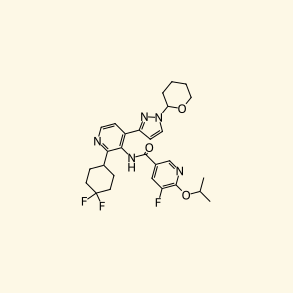 CC(C)Oc1ncc(C(=O)Nc2c(-c3ccn(C4CCCCO4)n3)ccnc2C2CCC(F)(F)CC2)cc1F